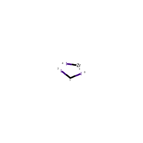 ICI.[Zr][I]